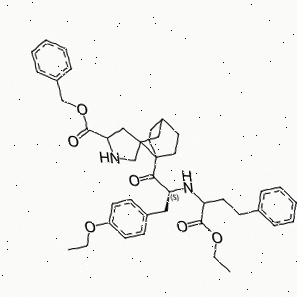 CCOC(=O)C(CCc1ccccc1)N[C@@H](Cc1ccc(OCC)cc1)C(=O)C12CCC(CC1)CC21CNC(C(=O)OCc2ccccc2)C1